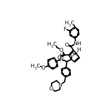 CCOC(=O)C1=C(C(=O)Nc2ccc(C)c(F)c2)[C@H]2C=CC1(C(Nc1ccc(OC)cc1)c1ccc(CN3CCOCC3)cc1)O2